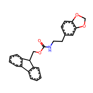 O=C(NCCc1ccc2c(c1)OCO2)OCC1c2ccccc2-c2ccccc21